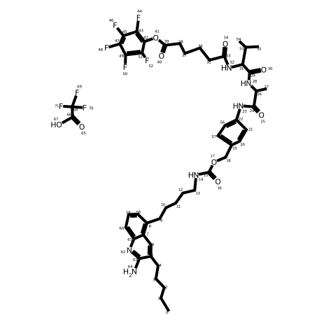 CCCCCc1cc2c(CCCCCNC(=O)OCc3ccc(NC(=O)C(C)NC(=O)C(NC(=O)CCCCC(=O)Oc4c(F)c(F)c(F)c(F)c4F)C(C)C)cc3)cccc2nc1N.O=C(O)C(F)(F)F